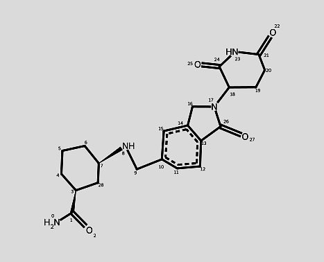 NC(=O)[C@H]1CCC[C@@H](NCc2ccc3c(c2)CN(C2CCC(=O)NC2=O)C3=O)C1